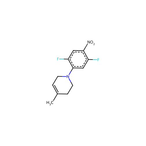 CC1=CCN(c2cc(F)c([N+](=O)[O-])cc2F)CC1